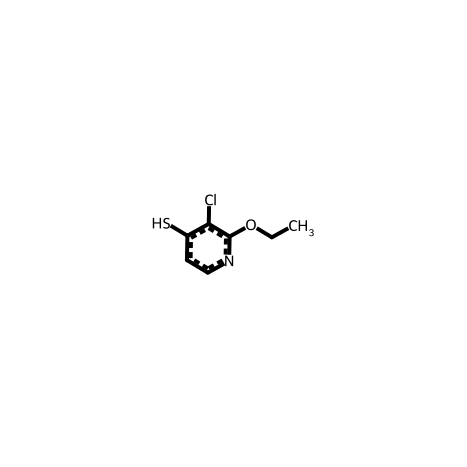 CCOc1nccc(S)c1Cl